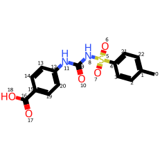 Cc1ccc(S(=O)(=O)NC(=O)Nc2ccc(C(=O)O)cc2)cc1